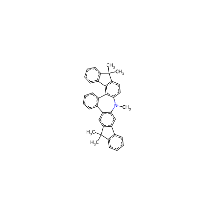 CN1c2cc3c(cc2-c2ccccc2-c2c1ccc1c2-c2ccccc2C1(C)C)C(C)(C)c1ccccc1-3